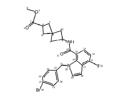 COC(=O)C1CC2(CC(NC(=O)c3ccc(F)c4ccn(Cc5ccc(Br)cc5)c34)C2)C1